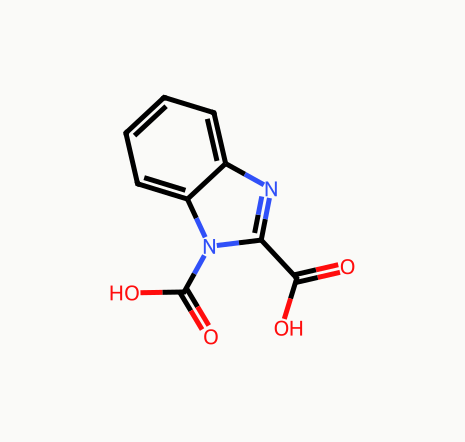 O=C(O)c1nc2ccccc2n1C(=O)O